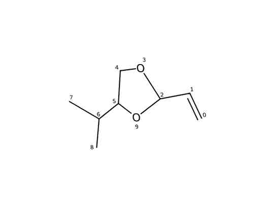 C=CC1OCC(C(C)C)O1